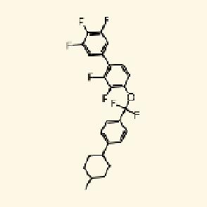 CC1CCC(c2ccc(C(F)(F)Oc3ccc(-c4cc(F)c(F)c(F)c4)c(F)c3F)cc2)CC1